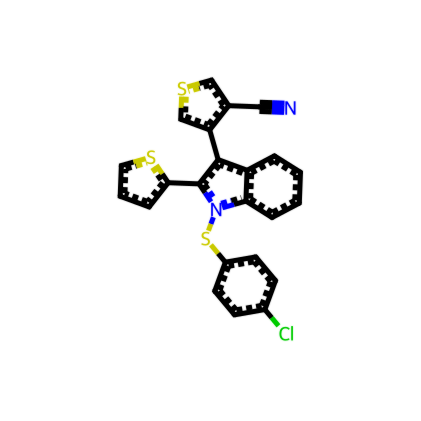 N#Cc1cscc1-c1c(-c2cccs2)n(Sc2ccc(Cl)cc2)c2ccccc12